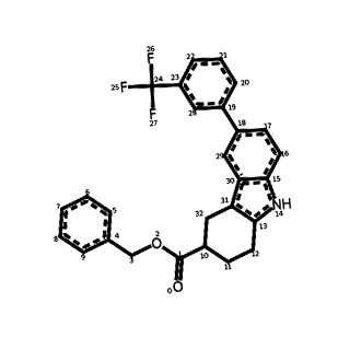 O=C(OCc1ccccc1)C1CCc2[nH]c3ccc(-c4cccc(C(F)(F)F)c4)cc3c2C1